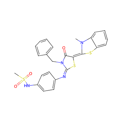 CN1C(=C2SC(=Nc3ccc(NS(C)(=O)=O)cc3)N(Cc3ccccc3)C2=O)Sc2ccccc21